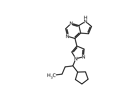 CCCC(C1CCCC1)n1cc(-c2ncnc3[nH]ccc23)cn1